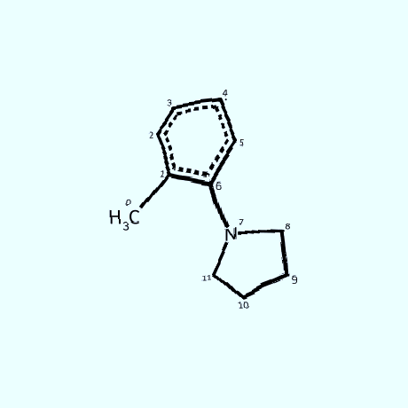 Cc1cc[c]cc1N1CCCC1